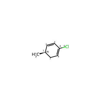 C[C@H]1C=CC(Cl)=CC1